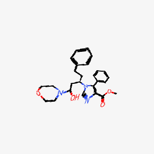 COC(=O)c1ncn([C@H](CCc2ccccc2)CC(O)N2CCOCC2)c1-c1ccccc1